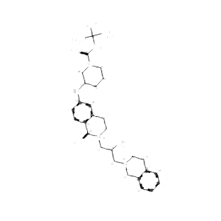 CC(C)(C)OC(=O)N1CCCC(Nc2ccc3c(c2)CCN(CC(O)CN2CCc4ccccc4C2)C3=O)C1